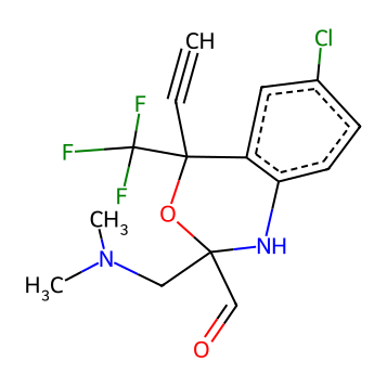 C#CC1(C(F)(F)F)OC(C=O)(CN(C)C)Nc2ccc(Cl)cc21